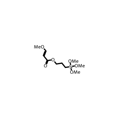 COC=CC(=O)OCCC[Si](OC)(OC)OC